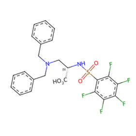 O=C(O)[C@H](CN(Cc1ccccc1)Cc1ccccc1)NS(=O)(=O)c1c(F)c(F)c(F)c(F)c1F